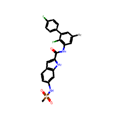 CC(=O)c1cc(NC(=O)c2cc3ccc(NS(C)(=O)=O)cc3[nH]2)c(F)c(-c2ccc(F)cc2)c1